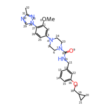 COc1cc(N2CCN(C(=O)NCc3cccc(OCC4CC4)c3)CC2)ccc1-n1cnc(C)n1